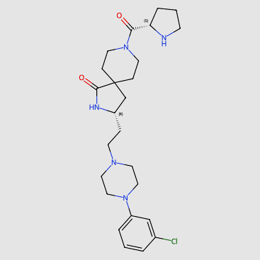 O=C([C@@H]1CCCN1)N1CCC2(CC1)C[C@H](CCN1CCN(c3cccc(Cl)c3)CC1)NC2=O